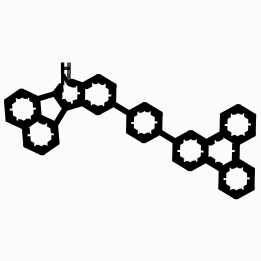 c1cc2c3c(cccc3c1)-c1c-2[nH]c2ccc(-c3ccc(-c4ccc5c6ccccc6c6ccccc6c5c4)cc3)cc12